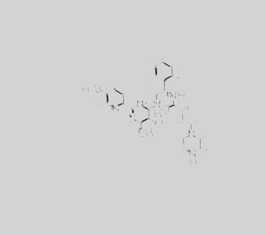 Bc1ccc(-c2nc(C)c(Cl)c(NC[C@H](NC(=O)CCCN3CCNCC3)c3ccccc3)n2)nc1